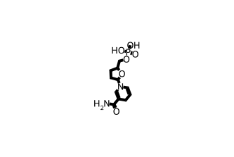 NC(=O)C1=CN(C2CCC(COP(=O)(O)O)O2)C=CC1